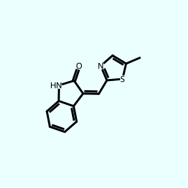 Cc1cnc(/C=C2\C(=O)Nc3ccccc32)s1